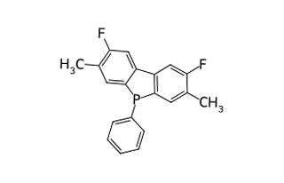 Cc1cc2c(cc1F)c1cc(F)c(C)cc1p2-c1ccccc1